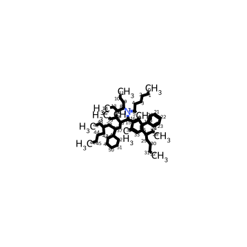 CCCCCC(C)N(C(CCC)CCC)C(c1cc(-c2ccccc2)c(C(CC)CCCC)cc1C)C(CC(CC(CC)CCCC)C1CCCCC1)C(C)CC